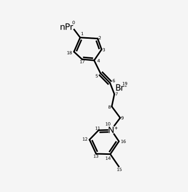 CCCc1ccc(C#CCCC[n+]2cccc(C)c2)cc1.[Br-]